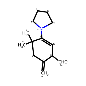 C=C1CC(C)(C)C(N2CCCC2)=CC1C=O